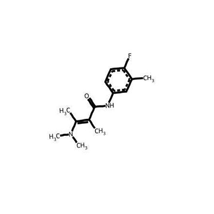 C/C(C(=O)Nc1ccc(F)c(C)c1)=C(/C)N(C)C